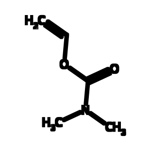 C=COC(=O)N(C)C